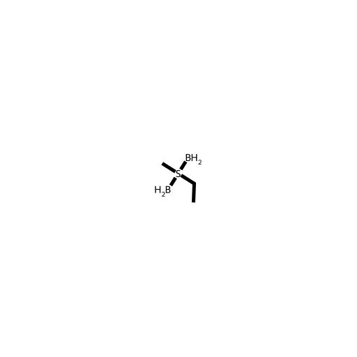 BS(B)(C)CC